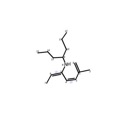 C=C(C)/C=C\C(=C/C)NC(CCC)CCC